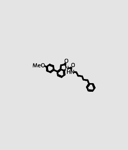 COc1ccc(-c2cccc3c2CC(=O)N3C(=O)NCCCCCc2ccccc2)cc1